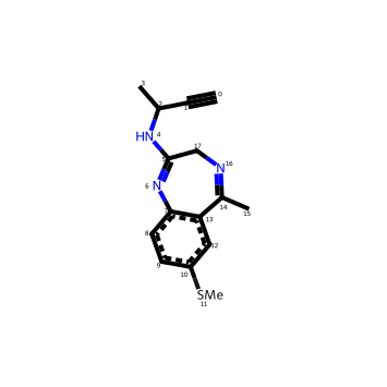 C#CC(C)NC1=Nc2ccc(SC)cc2C(C)=NC1